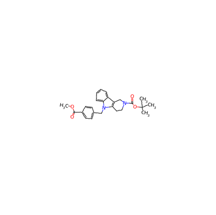 COC(=O)c1ccc(Cn2c3c(c4ccccc42)CN(C(=O)OC(C)(C)C)CC3)cc1